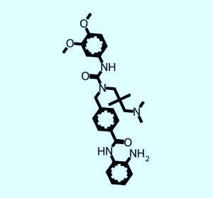 COc1ccc(NC(=O)N(Cc2ccc(C(=O)Nc3ccccc3N)cc2)CC(C)(C)CN(C)C)cc1OC